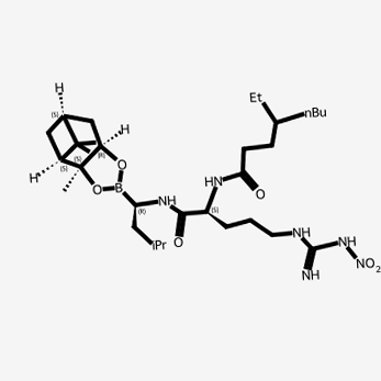 CCCCC(CC)CCC(=O)N[C@@H](CCCNC(=N)N[N+](=O)[O-])C(=O)N[C@@H](CC(C)C)B1O[C@@H]2C[C@@H]3C[C@@H](C3(C)C)[C@]2(C)O1